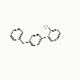 Cc1ccccc1-c1ccc([CH]c2ccccc2)cc1